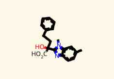 Cc1ccc2nc(C(O)(CCc3ccccc3)C(=O)O)n(C)c2c1